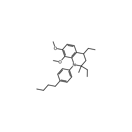 CCCCc1ccc(N2c3c(ccc(OC)c3OC)C(CC)CC2(C)CC)cc1